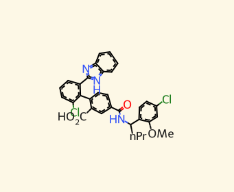 CCCC(NC(=O)c1ccc(-c2c(Cl)cccc2-c2nc3ccccc3[nH]2)c(C(=O)O)c1)c1ccc(Cl)cc1OC